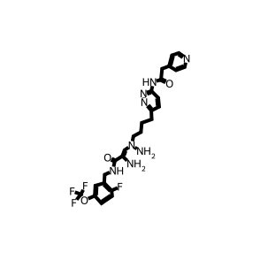 N/C(=C\N(N)CCCCc1ccc(NC(=O)Cc2ccncc2)nn1)C(=O)NCc1cc(OC(F)(F)F)ccc1F